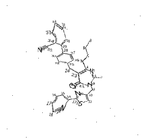 CCCCc1nc(C)n(Cc2csc(-c3ccccn3)n2)c(=O)c1Cc1ccc(-c2ccccc2C#N)cc1